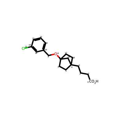 O=C(O)CCCC12CCC(OCc3cccc(Cl)c3)(CC1)C2